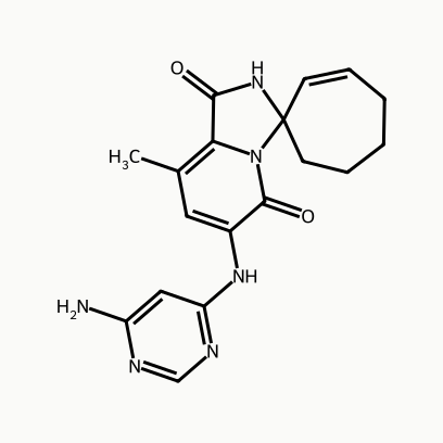 Cc1cc(Nc2cc(N)ncn2)c(=O)n2c1C(=O)NC21C=CCCCC1